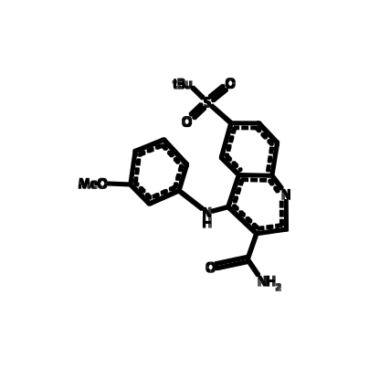 COc1cccc(Nc2c(C(N)=O)cnc3ccc(S(=O)(=O)C(C)(C)C)cc23)c1